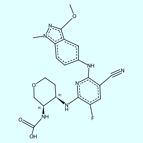 COc1nn(C)c2ccc(Nc3nc(N[C@@H]4CCOC[C@@H]4NC(=O)O)c(F)cc3C#N)cc12